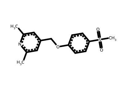 Cc1cc(COc2ccc(S(C)(=O)=O)cc2)cc(C)n1